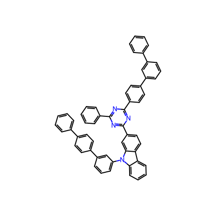 c1ccc(-c2ccc(-c3cccc(-n4c5ccccc5c5ccc(-c6nc(-c7ccccc7)nc(-c7ccc(-c8cccc(-c9ccccc9)c8)cc7)n6)cc54)c3)cc2)cc1